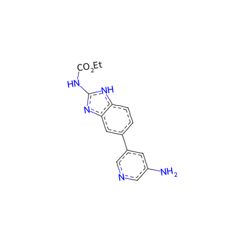 CCOC(=O)Nc1nc2cc(-c3cncc(N)c3)ccc2[nH]1